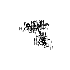 C=CCN(C)C(=O)[C@H](NC(=O)[C@H](CC)NC(=O)[C@H](CCCNC(=N)NS(=O)(=O)c1c(C)c(C)c2c(c1C)CC(C)(C)O2)NC(=O)[C@@](C)(CC=C)NC(=O)C(C)C)c1ccc(F)cc1